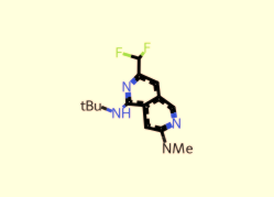 CNc1cc2c(NC(C)(C)C)nc(C(F)F)cc2cn1